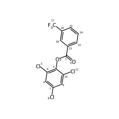 O=C(Oc1c(Cl)cc(Cl)cc1Cl)c1cccc(C(F)(F)F)c1